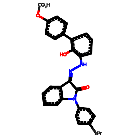 CCCc1ccc(N2C(=O)C(=NNc3cccc(-c4ccc(OC(=O)O)cc4)c3O)c3ccccc32)cc1